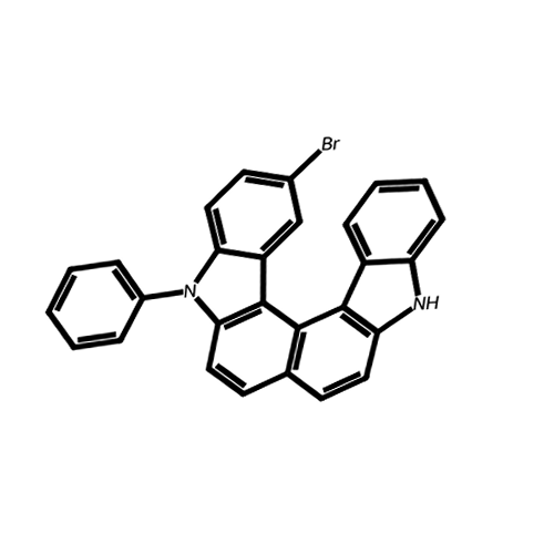 Brc1ccc2c(c1)c1c3c(ccc4[nH]c5ccccc5c43)ccc1n2-c1ccccc1